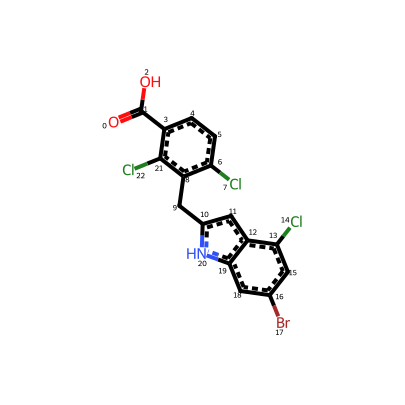 O=C(O)c1ccc(Cl)c(Cc2cc3c(Cl)cc(Br)cc3[nH]2)c1Cl